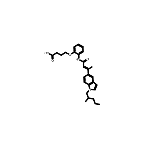 CCCC(C)Cn1ccc2cc(/C(C)=C/C(=O)Nc3ccccc3OCCCC(=O)O)ccc21